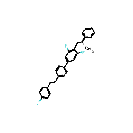 C[C@H](Cc1c(F)cc(-c2ccc(CCc3ccc(F)cc3)cc2)cc1F)c1ccccc1